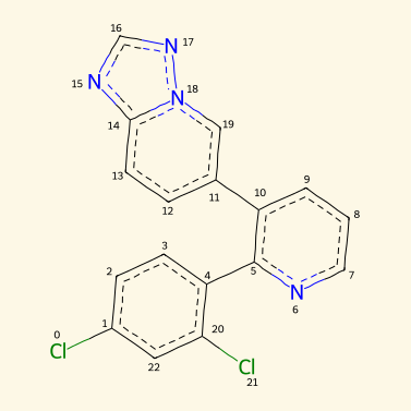 Clc1ccc(-c2ncccc2-c2ccc3ncnn3c2)c(Cl)c1